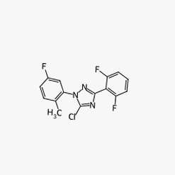 Cc1ccc(F)cc1-n1nc(-c2c(F)cccc2F)nc1Cl